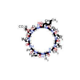 C/C=C/C[C@@H](C)[C@@H](O)[C@H]1C(=O)N[C@@H](CC)C(=O)N(C)[C@H](COCC(=O)O)C(=O)N(C)[C@@H](CC(C)C)C(=O)N[C@@H](C(C)C)C(=O)N(C)[C@@H](CC(C)C)C(=O)N[C@@H](C)C(=O)N[C@@H](C)C(=O)N(C)[C@@H](CC(C)C)C(=O)N(C)[C@@H](CC(C)C)C(=O)N(C)[C@@H](C(C)C)C(=O)N1C